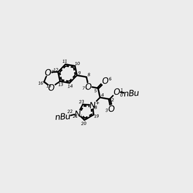 CCCCOC(=O)C(C(=O)OCc1ccc2c(c1)OCO2)[n+]1ccn(CCCC)c1